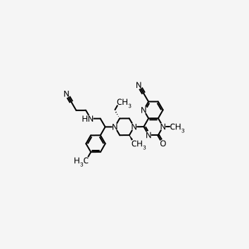 CC[C@@H]1CN(c2nc(=O)n(C)c3ccc(C#N)nc23)[C@@H](C)CN1C(CNCCC#N)c1ccc(C)cc1